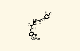 COc1ccc(CNC(=O)C23CC(NC(=O)COc4ccc(Cl)c(F)c4)(C2)C3)cc1F